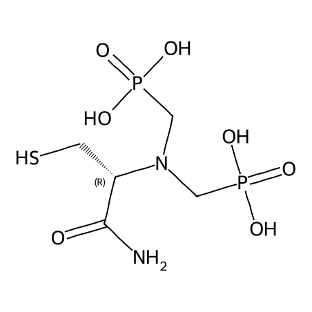 NC(=O)[C@H](CS)N(CP(=O)(O)O)CP(=O)(O)O